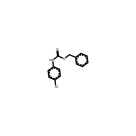 CC(=O)c1ccc(NC(=O)OCc2ccccc2)cc1